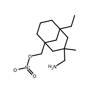 CCC12CCCC(CO[N+](=O)[O-])(CC(C)(CN)C1)C2